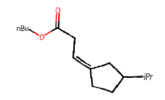 CCCCOC(=O)CC=C1CCC(C(C)C)C1